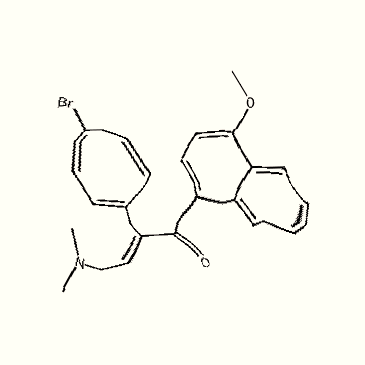 COc1ccc(C(=O)/C(=C/N(C)C)c2ccc(Br)cc2)c2ccccc12